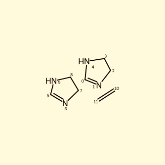 C1=NCCN1.C1=NCCN1.C=C